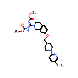 CC(=O)Nc1ccc(N2CCC(COc3ccc4c(c3)CN(/C(=N\C(=O)OC(C)(C)C)NC(=O)OC(C)(C)C)CC4)CC2)nc1